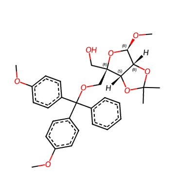 COc1ccc(C(OC[C@@]2(CO)O[C@@H](OC)[C@@H]3OC(C)(C)O[C@@H]32)(c2ccccc2)c2ccc(OC)cc2)cc1